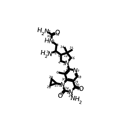 Cc1c(N2CC(C(N)CNC(N)=O)C(C)(C)C2)ncc2c(=O)n(N)c(=O)n(C3CC3)c12